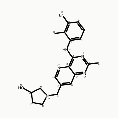 Cc1nc(Nc2cccc(Br)c2C)c2ncc(CN3CCC(O)C3)cc2n1